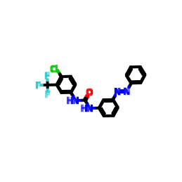 O=C(Nc1cccc(/N=N/c2ccccc2)c1)Nc1ccc(Cl)c(C(F)(F)F)c1